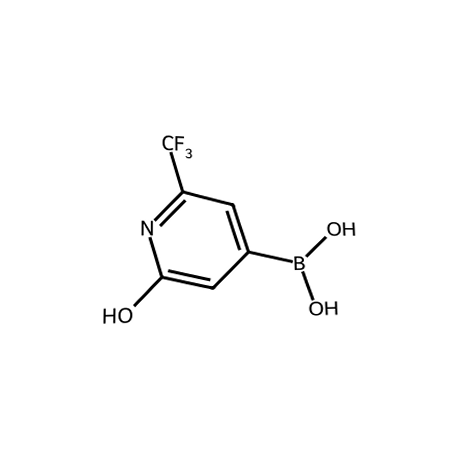 OB(O)c1cc(O)nc(C(F)(F)F)c1